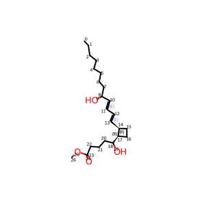 CCCCCCCCC(O)/C=C/C=C/[C@H]1CC[C@H]1C(O)CCCC(=O)OC